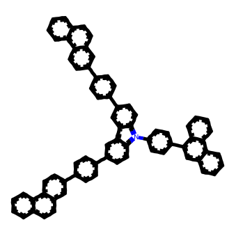 c1ccc2c(c1)ccc1cc(-c3ccc(-c4ccc5c(c4)c4cc(-c6ccc(-c7ccc8c(ccc9ccccc98)c7)cc6)ccc4n5-c4ccc(-c5cc6ccccc6c6ccccc56)cc4)cc3)ccc12